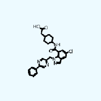 O=C(O)CC1CCC(NC(=O)c2cc(Cl)cc3cnn(Cc4cnc(-c5ccccc5)cn4)c23)CC1